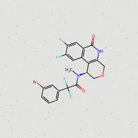 CN(C(=O)C(F)(F)c1cccc(Br)c1)[C@@H]1COCc2[nH]c(=O)c3cc(F)c(F)cc3c21